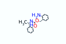 CC(NC(=O)OCc1ccccc1N)c1ccccc1